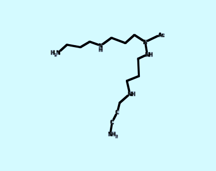 CC(=O)N(CCCNCCCN)NCCCNCCCN